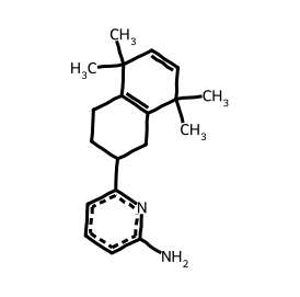 CC1(C)C=CC(C)(C)C2=C1CCC(c1cccc(N)n1)C2